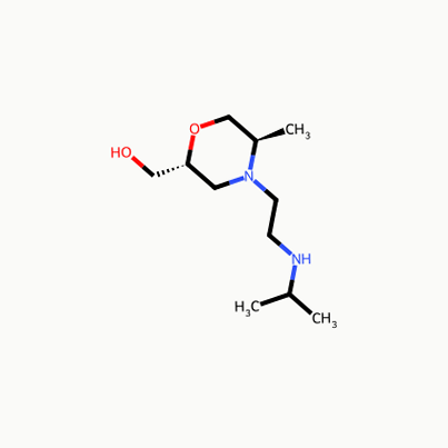 CC(C)NCCN1C[C@H](CO)OC[C@H]1C